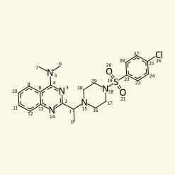 CC(c1nc(N(C)C)c2ccccc2n1)N1CCN(S(=O)(=O)c2ccc(Cl)cc2)CC1